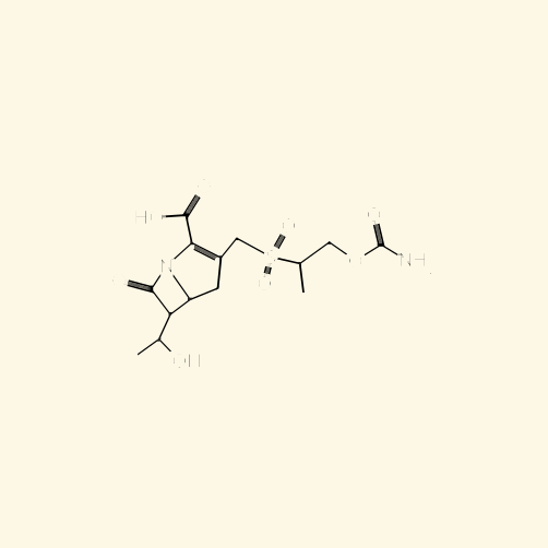 CC(O)C1C(=O)N2C(C(=O)O)=C(CS(=O)(=O)C(C)COC(N)=O)CC12